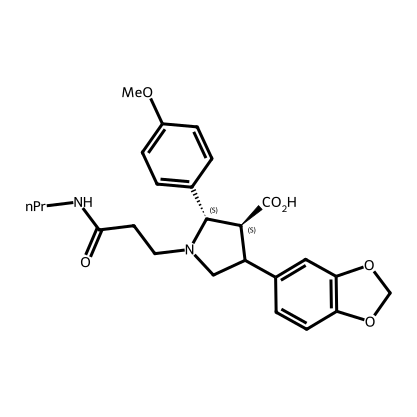 CCCNC(=O)CCN1CC(c2ccc3c(c2)OCO3)[C@H](C(=O)O)[C@H]1c1ccc(OC)cc1